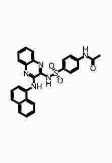 CC(=O)Nc1ccc(S(=O)(=O)Nc2nc3ccccc3nc2Nc2cccc3ccccc23)cc1